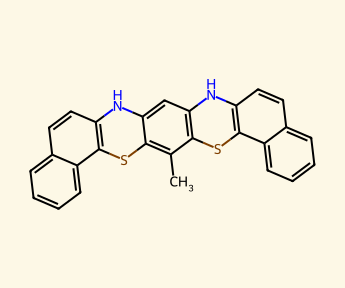 Cc1c2sc3c(ccc4ccccc43)[nH]c2cc2[nH]c3ccc4ccccc4c3sc12